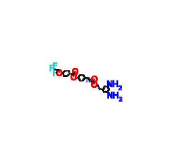 Nc1cc(N)cc(CCOC(=O)/C=C/c2ccc(OC(=O)C3CCC(OCC(F)(F)F)CC3)cc2)c1